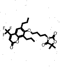 CCCc1cc2c(C(F)(F)F)cc(=O)oc2c(CCC)c1OCCCCN1C(=O)OC(C)(C)C1=O